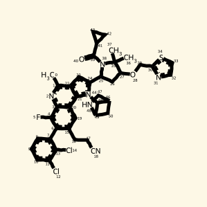 Cc1nc2c(F)c(-c3cccc(Cl)c3Cl)c(CCC#N)cc2c2c1cc(C1CC(OCc3nccs3)C(C)(C)N1C(=O)C1CC1)n2C1C2CNC1C2